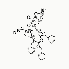 [N-]=[N+]=N[C@H]1C[C@@H](N=[N+]=[N-])[C@H](O)[C@@H](O)[C@@H]1O[C@H]1O[C@H]([C@H](COCc2ccccc2)N(Cc2ccccc2)C(=O)OCc2ccccc2)CC[C@H]1N=[N+]=[N-]